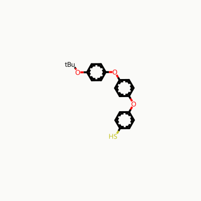 CC(C)(C)Oc1ccc(Oc2ccc(Oc3ccc(S)cc3)cc2)cc1